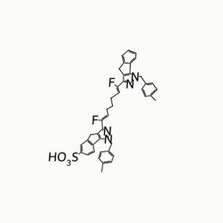 Cc1ccc(Cn2nc(/C(F)=C/CCC/C=C(\F)c3nn(Cc4ccc(C)cc4)c4c3Cc3cc(S(=O)(=O)O)ccc3-4)c3c2-c2ccccc2C3)cc1